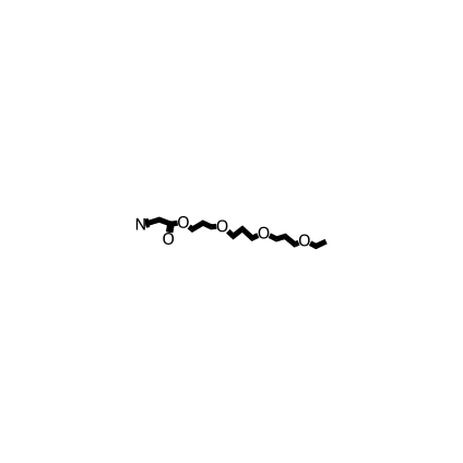 CCOCCCOCCCOCCCOC(=O)CC#N